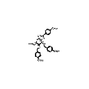 COc1ccc(CO[C@@H]2[C@@H](OCc3ccc(OC)cc3)[C@@H](OC)O[C@H](CO)[C@H]2OCc2ccc(OC)cc2)cc1